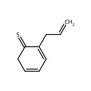 C=CCC1=[C]C=CCC1=S